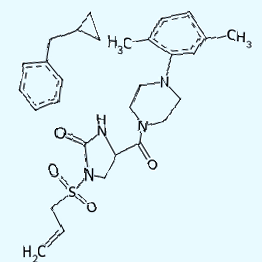 C=CCS(=O)(=O)N1CC(C(=O)N2CCN(c3cc(C)ccc3C)CC2)NC1=O.c1ccc(CC2CC2)cc1